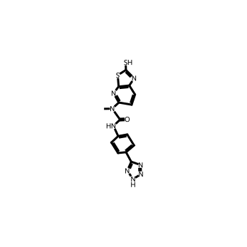 CN(C(=O)Nc1ccc(-c2nn[nH]n2)cc1)c1ccc2nc(S)sc2n1